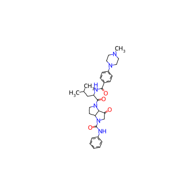 CC(C)CC(NC(=O)c1ccc(N2CCN(C)CC2)cc1)C(=O)N1CCC2C1C(=O)CN2C(=O)Nc1ccccc1